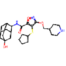 O=C(NC1C2CC3CC1CC(O)(C3)C2)c1onc(OCC2CCNCC2)c1SC1CCCC1